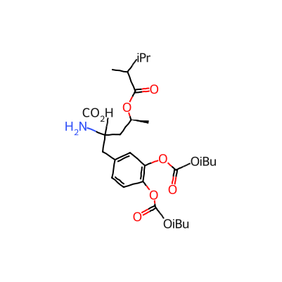 CC(C)COC(=O)Oc1ccc(CC(N)(C[C@H](C)OC(=O)C(C)C(C)C)C(=O)O)cc1OC(=O)OCC(C)C